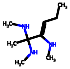 CCC=C(NC)C(C)(NC)NC